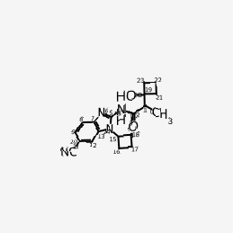 CC(C(=O)Nc1nc2ccc(C#N)cc2n1C1CCC1)C1(O)CCC1